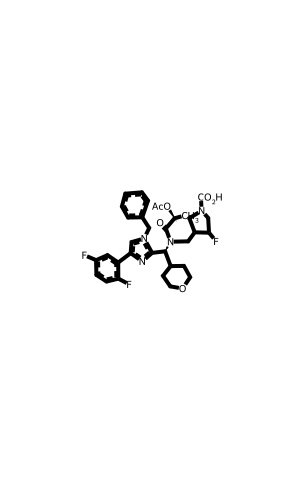 CC(=O)O[C@@H](C)C(=O)N(CC1CN(C(=O)O)CC1F)[C@@H](c1nc(-c2cc(F)ccc2F)cn1Cc1ccccc1)C1CCOCC1